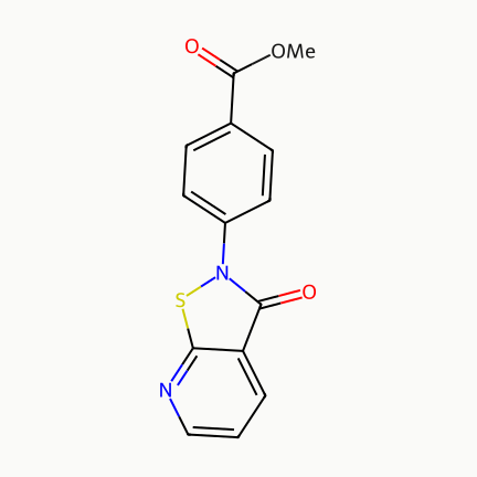 COC(=O)c1ccc(-n2sc3ncccc3c2=O)cc1